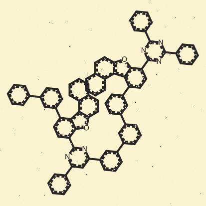 c1ccc(-c2cccc(-c3ccc(-c4nc(-c5ccccc5)cc(-c5cccc(-c6cccc(-c7cccc(-c8ccc(-c9nc(-c%10ccccc%10)nc(-c%10ccccc%10)n9)c9oc%10ccc%11ccccc%11c%10c89)c7)c6)c5)n4)c4oc5ccc6ccccc6c5c34)c2)cc1